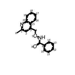 Cc1cc(CONC(=O)c2ccccc2)c2ccccc2n1